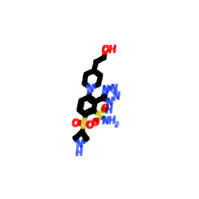 NS(=O)(=O)c1c(S(=O)(=O)C2CNC2)ccc(N2CCC(CCO)CC2)c1-c1nnn[nH]1